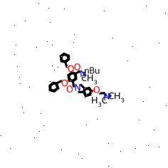 CCCCN(C)C(=O)c1cc(C(=O)N2Cc3ccc(OCCN(C)C)cc3C2)c(OCc2ccccc2)cc1OCc1ccccc1